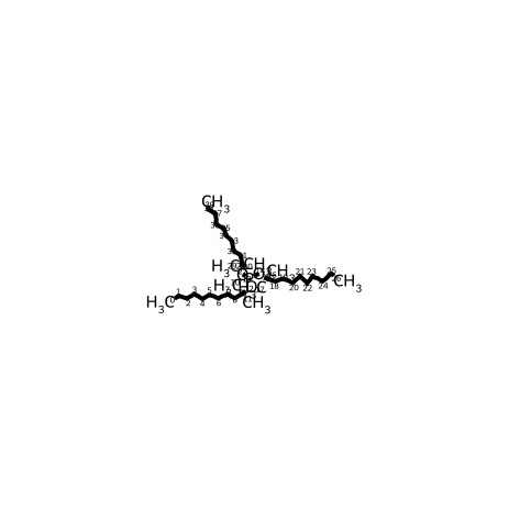 CCCCCCCCCC(C)(C)OP(OC(C)(C)CCCCCCCCC)OC(C)(C)CCCCCCCCC